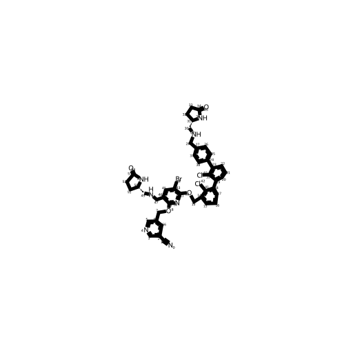 N#Cc1cncc(COc2nc(OCc3cccc(-c4cccc(-c5ccc(CNC[C@@H]6CCC(=O)N6)cc5)c4Cl)c3Cl)c(Br)cc2CNC[C@@H]2CCC(=O)N2)c1